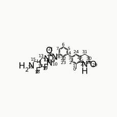 Cc1cc(-c2cccc(-n3cnn(CC(CN)=C(F)F)c3=O)c2C)cc2c1NC(=O)CC2